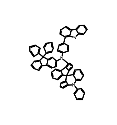 c1ccc(N2c3ccccc3C3(c4ccccc4-c4c(N(c5ccc(-c6cccc7c6sc6ccccc67)cc5)c5ccc6c(c5)C(c5ccccc5)(c5ccccc5)c5ccccc5-6)cccc43)c3ccccc32)cc1